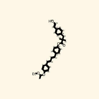 CCOC(C)Oc1ccc(C=CC=Cc2ccc(OC(=O)C(C)(C)Cc3ccc(C=CO)cc3)cc2)cc1